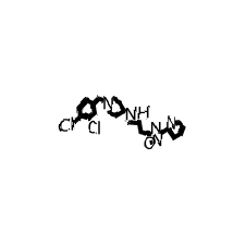 Clc1ccc(CN2CCC(NCCCc3nc(-c4ccccn4)no3)CC2)cc1Cl